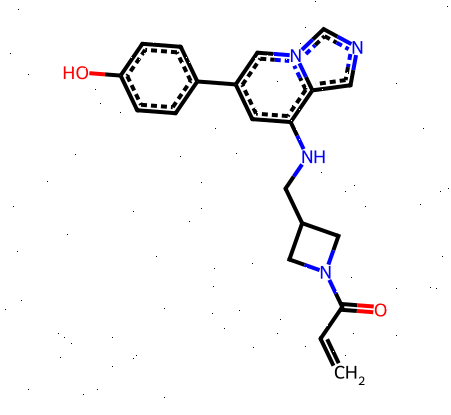 C=CC(=O)N1CC(CNc2cc(-c3ccc(O)cc3)cn3cncc23)C1